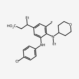 CCC(CC(=O)O)c1cc(F)c(N(CC)C2CCOCC2)c(Nc2ccc(Cl)cc2)c1